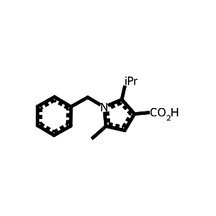 Cc1cc(C(=O)O)c(C(C)C)n1Cc1ccccc1